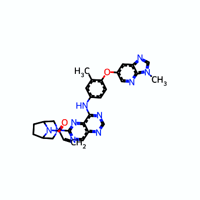 C=CC(=O)N1C2CCC1CN(c1ncc3ncnc(Nc4ccc(Oc5cnc6c(c5)ncn6C)c(C)c4)c3n1)C2